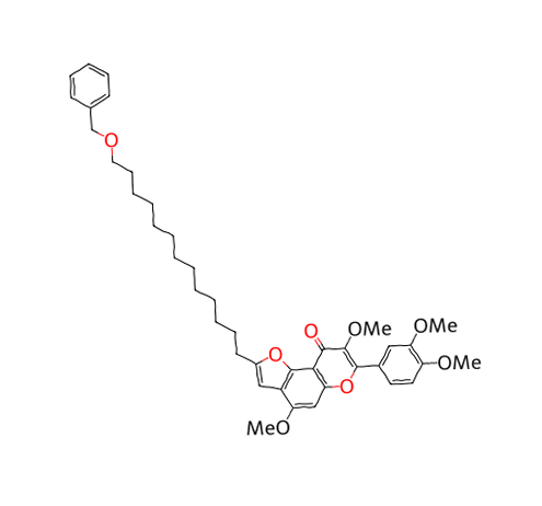 COc1ccc(-c2oc3cc(OC)c4cc(CCCCCCCCCCCCCOCc5ccccc5)oc4c3c(=O)c2OC)cc1OC